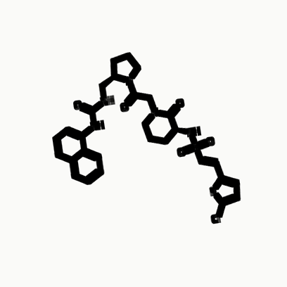 O=C(NC[C@H]1CCCN1C(=O)CN1CCC[C@H](NS(=O)(=O)/C=C/c2ccc(Cl)s2)C1=O)Nc1cccc2ccccc12